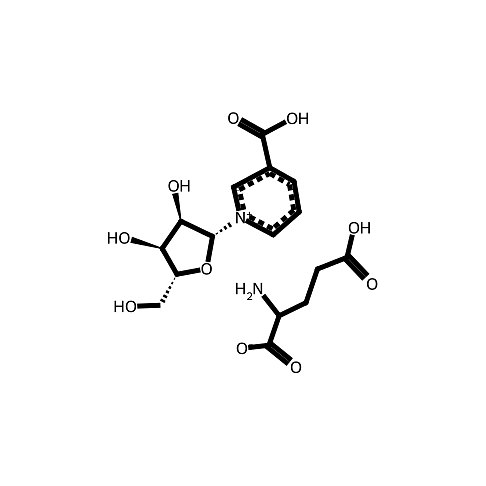 NC(CCC(=O)O)C(=O)[O-].O=C(O)c1ccc[n+]([C@@H]2O[C@H](CO)[C@@H](O)[C@H]2O)c1